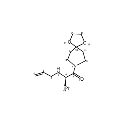 C=CCN[C@@H](C(=O)N1CCC2(CC1)OCCO2)C(C)C